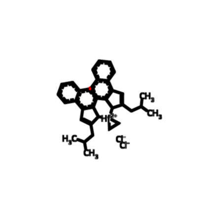 CC(C)CC1=Cc2c(ccc3ccccc23)[CH]1[Hf+2]1([CH]2C(CC(C)C)=Cc3c2ccc2ccccc32)[CH2][CH2]1.[Cl-].[Cl-]